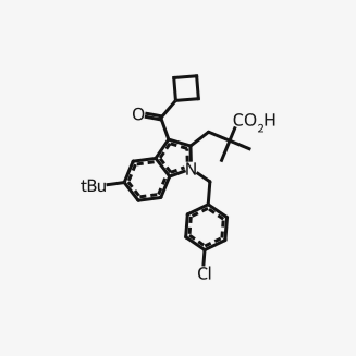 CC(C)(Cc1c(C(=O)C2CCC2)c2cc(C(C)(C)C)ccc2n1Cc1ccc(Cl)cc1)C(=O)O